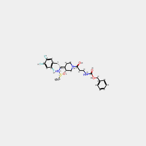 CC(C)(C)[S+]([O-])N[C@H](Cc1cc(F)c(F)cc1F)C1CCN(C(=O)CCNC(=O)OCc2ccccc2)CC1